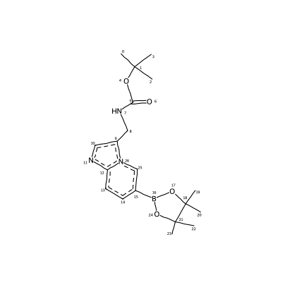 CC(C)(C)OC(=O)NCc1cnc2ccc(B3OC(C)(C)C(C)(C)O3)cn12